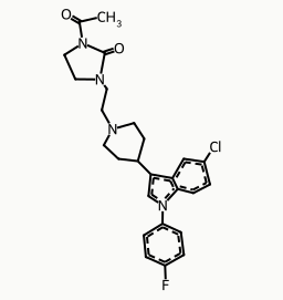 CC(=O)N1CCN(CCN2CCC(c3cn(-c4ccc(F)cc4)c4ccc(Cl)cc34)CC2)C1=O